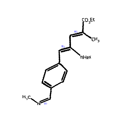 CCCCCCC(=C\c1ccc(/C=N\C)cc1)/C=C(\C)C(=O)OCC